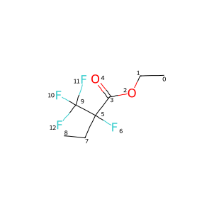 CCOC(=O)C(F)(CC)C(F)(F)F